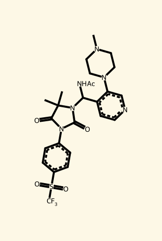 CC(=O)NC(c1ccncc1N1CCN(C)CC1)N1C(=O)N(c2ccc(S(=O)(=O)C(F)(F)F)cc2)C(=O)C1(C)C